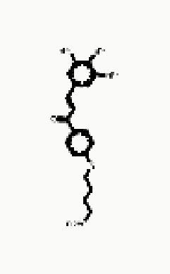 CCCCCCCCCCCCCCSc1ccc(C(=O)C=Cc2cc(CCC)c(CCC)c(CCC)c2)cc1